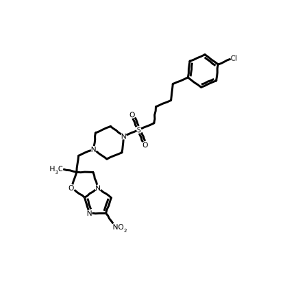 CC1(CN2CCN(S(=O)(=O)CCCCc3ccc(Cl)cc3)CC2)Cn2cc([N+](=O)[O-])nc2O1